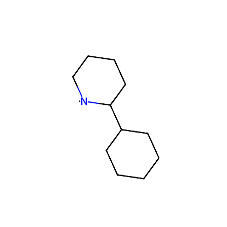 C1CCC(C2CCCC[N]2)CC1